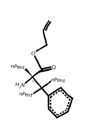 C=CCOC(=O)[C@](N)(CCCCC)C(CCCCC)(CCCCC)c1ccccc1